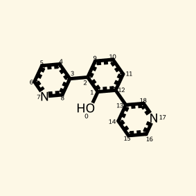 Oc1c(-c2cccnc2)cccc1-c1cccnc1